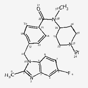 Cc1nc2cc(F)ccc2n1Cc1ccc(C(=O)N(C)C2CCN(C(C)C)CC2)cc1